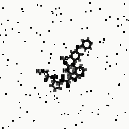 Cc1cc(Oc2ccccc2)ccc1N1C(=O)Nc2c(C(=O)N[C@H]3CCC[C@H]3NC(=O)CN)sc3nccc1c23